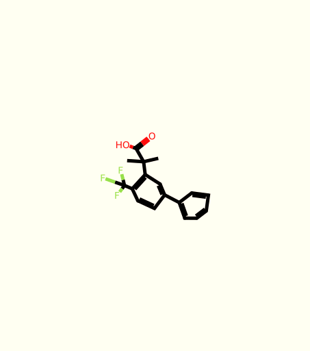 CC(C)(C(=O)O)c1cc(-c2ccccc2)ccc1C(F)(F)F